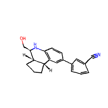 N#Cc1cccc(-c2ccc3c(c2)[C@@H]2CCC[C@@H]2[C@@H](CO)N3)c1